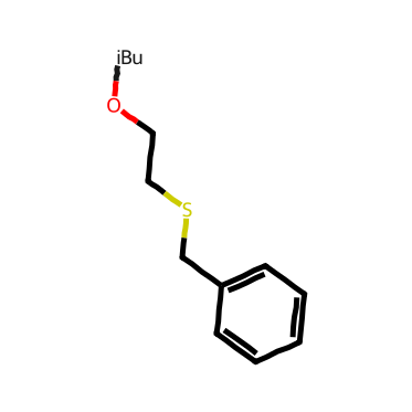 CCC(C)OCCSCc1ccccc1